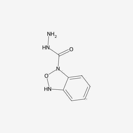 NNC(=O)N1ONc2c[c]ccc21